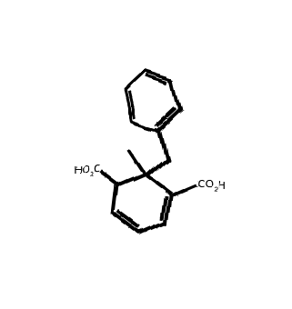 CC1(Cc2ccccc2)C(C(=O)O)=CC=CC1C(=O)O